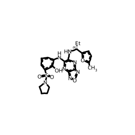 CC[C@@H](Nc1nc2nonc2nc1Nc1cccc(S(=O)(=O)N2CCCC2)c1O)c1ccc(C)o1